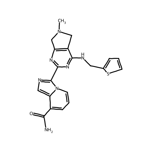 CN1Cc2nc(-c3ncc4c(C(N)=O)cccn34)nc(NCc3cccs3)c2C1